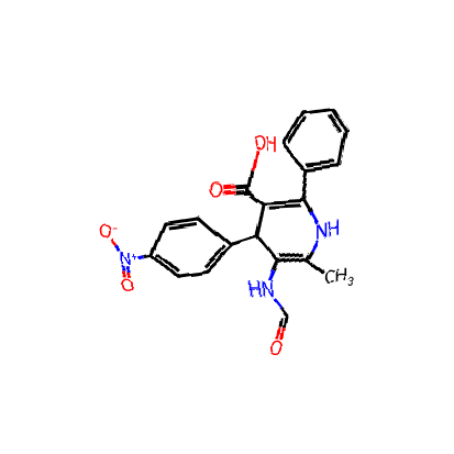 CC1=C(NC=O)C(c2ccc([N+](=O)[O-])cc2)C(C(=O)O)=C(c2ccccc2)N1